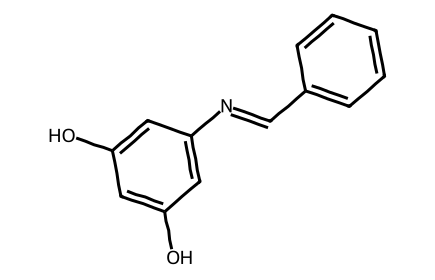 Oc1cc(O)cc(/N=C/c2ccccc2)c1